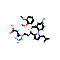 COc1cccc([C@H]2O[C@H](CCn3nnnc3CC(=O)O)c3ccc(CC(C)C)n3-c3ccc(Cl)cc32)c1OC